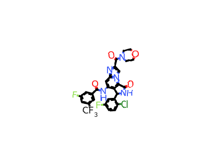 O=C(Nc1cc2nc(C(=O)N3CCOCC3)cn2c2c1C(c1cc(F)ccc1Cl)NC2=O)c1cc(F)cc(C(F)(F)F)c1